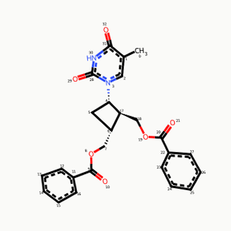 Cc1cn([C@H]2C[C@@H](COC(=O)c3ccccc3)[C@@H]2COC(=O)c2ccccc2)c(=O)[nH]c1=O